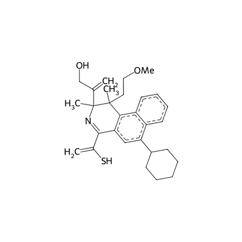 C=C(S)C1=NC(C)(C(=C)CO)C(C)(CCOC)c2c1cc(C1CCCCC1)c1ccccc21